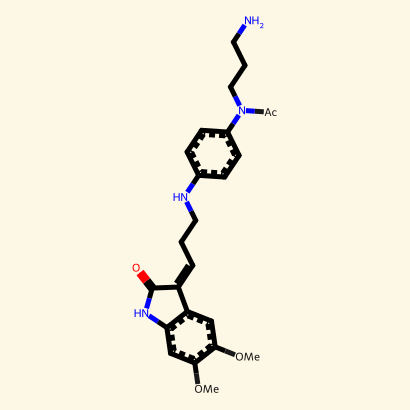 COc1cc2c(cc1OC)C(=CCCNc1ccc(N(CCCN)C(C)=O)cc1)C(=O)N2